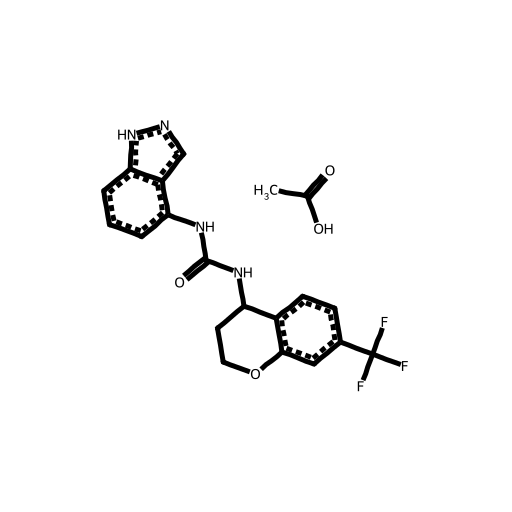 CC(=O)O.O=C(Nc1cccc2[nH]ncc12)NC1CCOc2cc(C(F)(F)F)ccc21